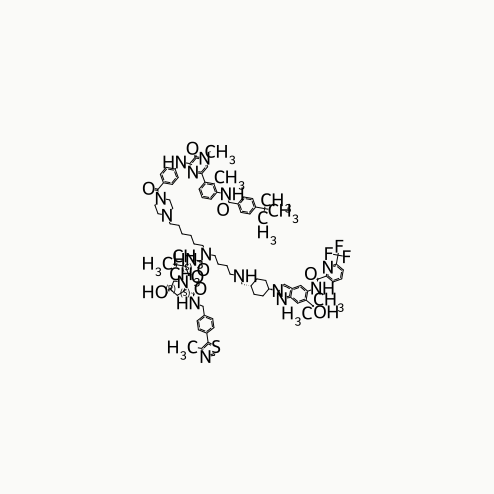 Cc1ncsc1-c1ccc(CNC(=O)[C@@H]2C[C@@H](O)CN2C(=O)[C@@H](NC(=O)N(CCCCCCN2CCN(C(=O)c3ccc(Nc4nc(-c5cccc(NC(=O)c6ccc(C(C)(C)C)cc6)c5C)cn(C)c4=O)cc3)CC2)CCCCNC[C@H]2CC[C@H](n3cc4cc(NC(=O)c5cccc(C(F)(F)F)n5)c(C(C)(C)O)cc4n3)CC2)C(C)(C)C)cc1